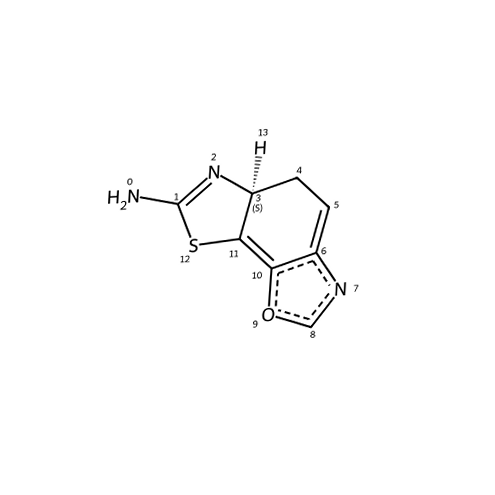 NC1=N[C@H]2CC=c3ncoc3=C2S1